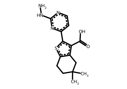 CC1(C)CCc2sc(-c3ccnc(NN)n3)c(C(=O)O)c2C1